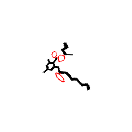 C=CCC/C=C/C(=O)Cc1cc(C)cc(C)c1C(=O)O[C@H](C)CC=C